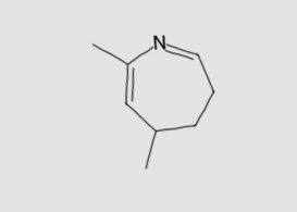 CC1=CC(C)CCC=N1